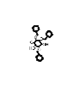 O[C@H]1[C@H](O)[C@@H](OCc2ccccc2)[C@@H](OCc2ccccc2)[C@@H](O)[C@@H]1OCc1ccccc1